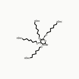 CCCCCCCCCCCCCCCCOC[C@H]1O[C@H](Br)[C@H](OCCCCCCCCCCCCCCCC)[C@@H](OCCCCCCCCCCCCCCCC)[C@H]1OCCCCCCCCCCCCCCCC